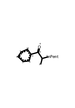 CCCCCC(C)C(=O)c1cc[c]cc1